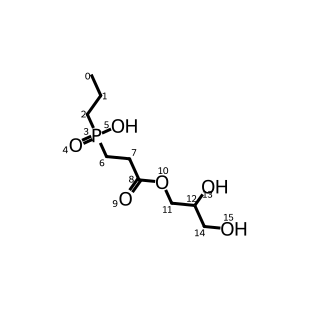 CCCP(=O)(O)CCC(=O)OCC(O)CO